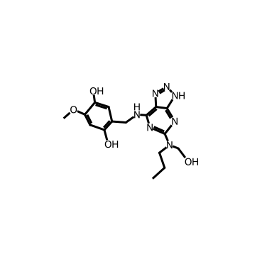 CCCN(CO)c1nc(NCc2cc(O)c(OC)cc2O)c2nn[nH]c2n1